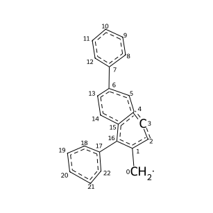 [CH2]c1ccc2cc(-c3ccccc3)ccc2c1-c1ccccc1